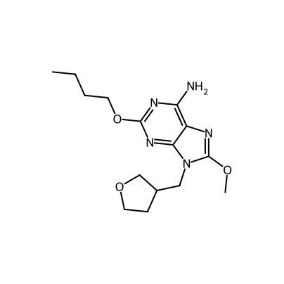 CCCCOc1nc(N)c2nc(OC)n(CC3CCOC3)c2n1